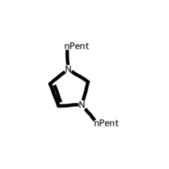 CCCCCN1C=CN(CCCCC)C1